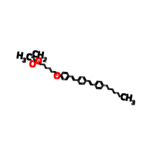 C=C(C)C(=O)OCCCCCCOc1ccc(C=Cc2ccc(C=Cc3ccc(CCCCCCC)cc3)cc2)cc1